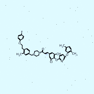 Cc1ccc(C)c(Oc2ccc(Oc3c(C)cc(/C=C/C(=O)N4CCN(Cc5ccc(CCOc6ccc(F)cc6)c(C)c5)CC4)cc3Cl)nc2)c1